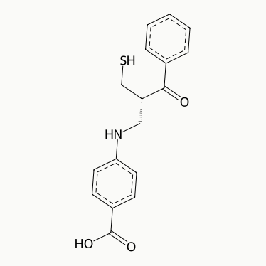 O=C(O)c1ccc(NC[C@H](CS)C(=O)c2ccccc2)cc1